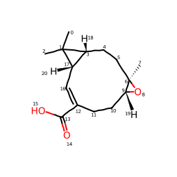 CC1(C)[C@@H]2CC[C@@]3(C)O[C@@H]3CC/C(C(=O)O)=C\[C@@H]21